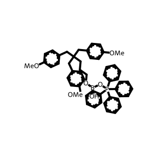 COc1ccc(CC(CCCOB(O)OP(c2ccccc2)(c2ccccc2)(c2ccccc2)c2ccccc2)(Cc2ccc(OC)cc2)Cc2ccc(OC)cc2)cc1